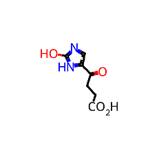 O=C(O)CCC(=O)c1cnc(O)[nH]1